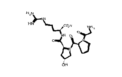 N=C(N)NCCC[C@H](NC(=O)[C@@H]1C[C@@H](O)CN1C(=O)[C@@H]1CCCN1C(=O)CN)C(=O)O